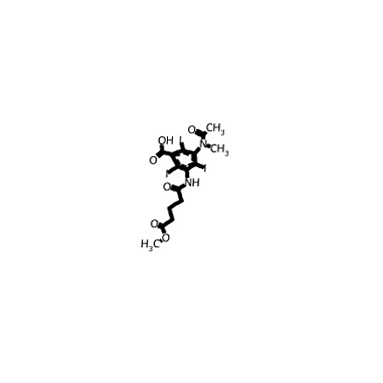 COC(=O)CCCC(=O)Nc1c(I)c(C(=O)O)c(I)c(N(C)C(C)=O)c1I